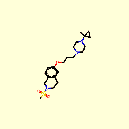 CC1(N2CCN(CCCOc3ccc4c(c3)CCN(S(C)(=O)=O)C4)CC2)CC1